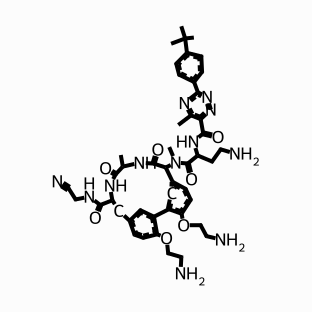 Cc1nc(-c2ccc(C(C)(C)C)cc2)nnc1C(=O)NC(CCN)C(=O)N(C)C1C(=O)NC(C)C(=O)NC(C(=O)NCC#N)Cc2ccc(OCCN)c(c2)-c2cc1ccc2OCCN